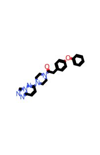 O=C(Cc1ccc(Oc2ccccc2)cc1)N1CCN(c2ccc3nncn3n2)CC1